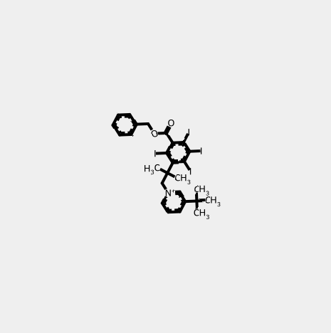 CC(C)(C)c1ccc[n+](CC(C)(C)c2c(I)c(I)c(I)c(C(=O)OCc3ccccc3)c2I)c1